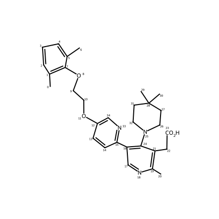 Cc1cccc(C)c1OCCOc1ccc(-c2cnc(C)c(CC(=O)O)c2N2CCC(C)(C)CC2)nc1